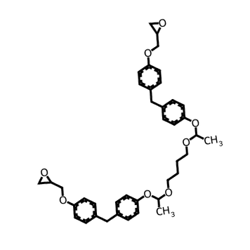 CC(OCCCCOC(C)Oc1ccc(Cc2ccc(OCC3CO3)cc2)cc1)Oc1ccc(Cc2ccc(OCC3CO3)cc2)cc1